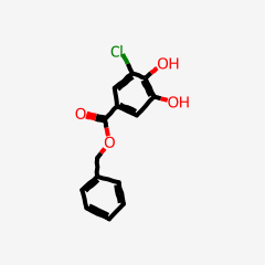 O=C(OCc1ccccc1)c1cc(O)c(O)c(Cl)c1